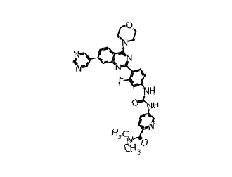 CN(C)C(=O)c1ccc(NC(=O)Nc2ccc(-c3nc(N4CCOCC4)c4ccc(-c5cncnc5)cc4n3)c(F)c2)cn1